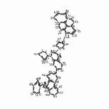 c1ccc(-c2nc(-c3ccc(-c4ccc5ccc6cccc7ccc4c5c67)cc3)nc3ccc(-c4ccc5c(c4)c4ccccc4n5-c4ccccc4)cc23)cc1